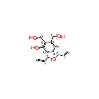 C=CCOCC=C.OCc1cccc(O)c1CO